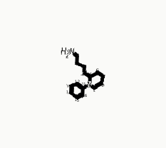 NCCCCC1CCC=CN1c1ccccc1